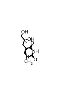 Cn1cc(C[C@H](O)CO)c(=O)[nH]c1=O